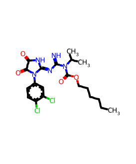 CCCCCCOC(=O)N(C(=N)N=C1NC(=O)C(=O)N1c1ccc(Cl)c(Cl)c1)C(C)C